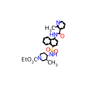 CCOC(=O)N1CC[C@H](NS(=O)(=O)c2ccc(NC(=O)c3cccnc3C)c3ccccc23)[C@@H](C)C1